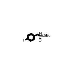 CC(C)CO[PH](=O)Cc1ccc(F)cc1